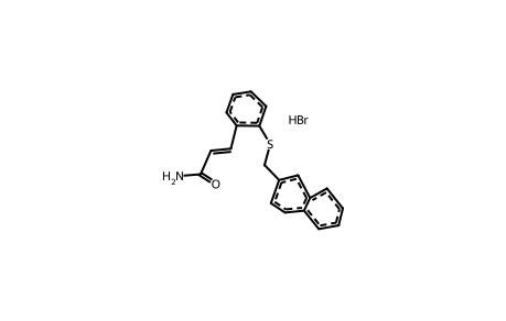 Br.NC(=O)/C=C/c1ccccc1SCc1ccc2ccccc2c1